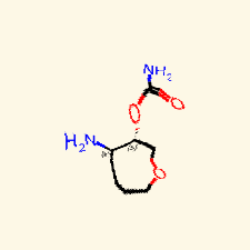 NC(=O)O[C@@H]1COCC[C@H]1N